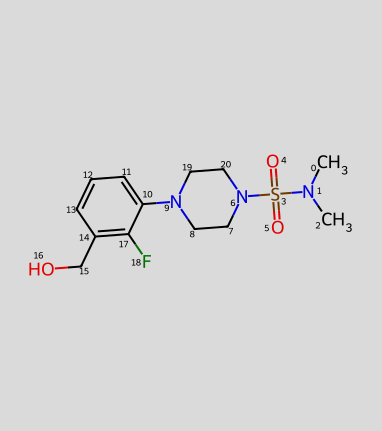 CN(C)S(=O)(=O)N1CCN(c2cccc(CO)c2F)CC1